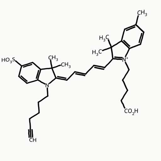 C#CCCCCN1/C(=C/C=C/C=C/C2=[N+](CCCCC(=O)O)c3ccc(C)cc3C2(C)C)C(C)(C)c2cc(S(=O)(=O)O)ccc21